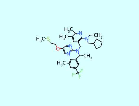 CCN(CC1CCCC1)c1nc(C)c(C)cc1CN(c1ncc(OCCSC)cn1)C(C)c1cc(C)cc(C(F)(F)F)c1